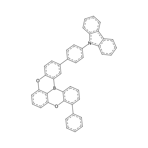 c1ccc(-c2cccc3c2Oc2cccc4c2B3c2cc(-c3ccc(-n5c6ccccc6c6ccccc65)cc3)ccc2O4)cc1